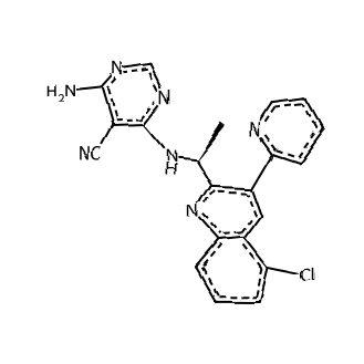 C[C@H](Nc1ncnc(N)c1C#N)c1nc2cccc(Cl)c2cc1-c1ccccn1